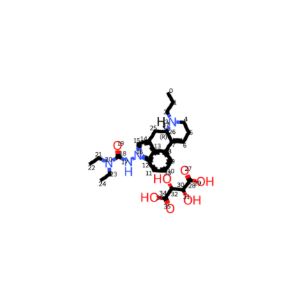 CCCN1CCC=C2c3cccc4c3c(cn4NC(=O)N(CC)CC)C[C@H]21.O=C(O)C(O)C(O)C(=O)O